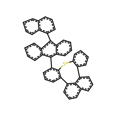 c1ccc2c(c1)Sc1c(-c3c4ccccc4c(-c4cccc5ccccc45)c4ccccc34)cccc1-c1cccc3cccc-2c13